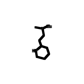 CN(CCC1CCCCN1)C(C)(C)C